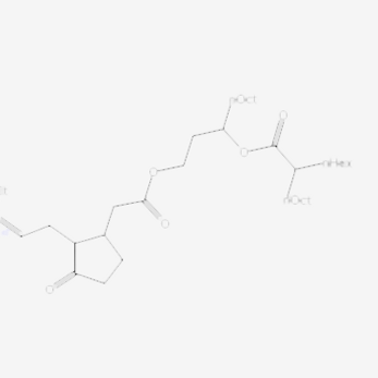 CC/C=C\CC1C(=O)CCC1CC(=O)OCCC(CCCCCCCC)OC(=O)C(CCCCCC)CCCCCCCC